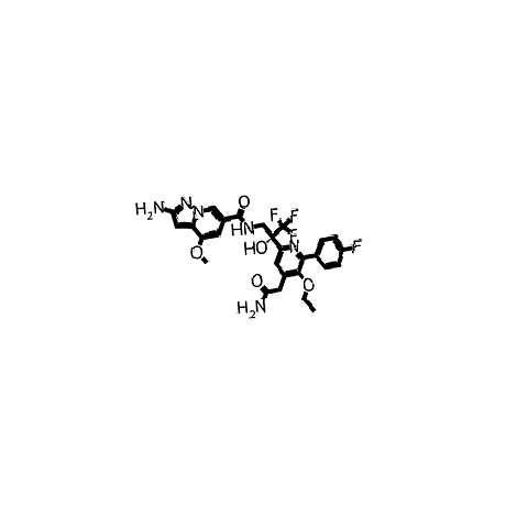 CCOc1c(CC(N)=O)cc([C@@](O)(CNC(=O)c2cc(OC)c3cc(N)nn3c2)C(F)(F)F)nc1-c1ccc(F)cc1